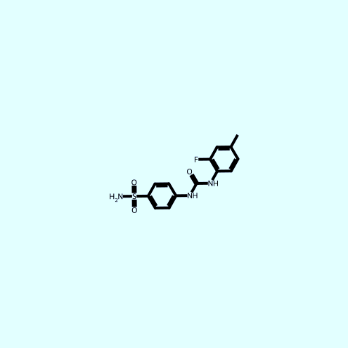 Cc1ccc(NC(=O)Nc2ccc(S(N)(=O)=O)cc2)c(F)c1